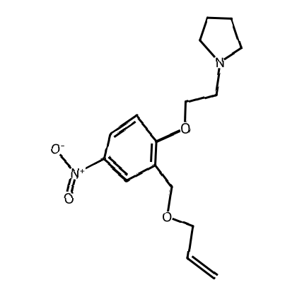 C=CCOCc1cc([N+](=O)[O-])ccc1OCCN1CCCC1